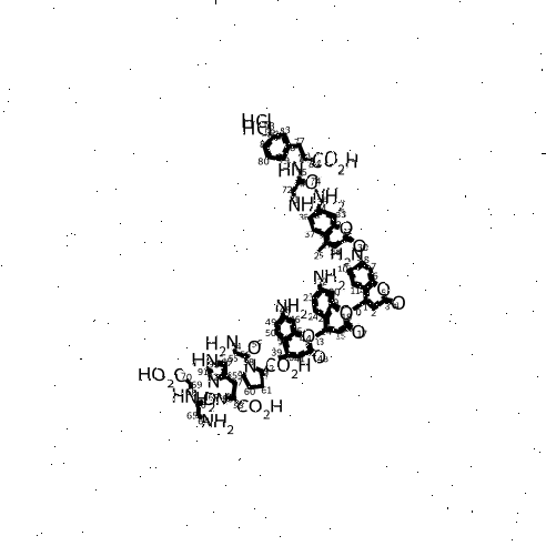 Cc1cc(=O)oc2cc(N)ccc12.Cc1cc(=O)oc2cc(N)ccc12.Cc1cc(=O)oc2cc(N)ccc12.Cc1cc(=O)oc2cc(N)ccc12.Cl.Cl.NCC(=O)N1CCC[C@H]1C(=O)O.NCC(=O)NCC(=O)O.NCC(=O)N[C@@H](Cc1ccccc1)C(=O)O.N[C@@H](Cc1c[nH]cn1)C(=O)O